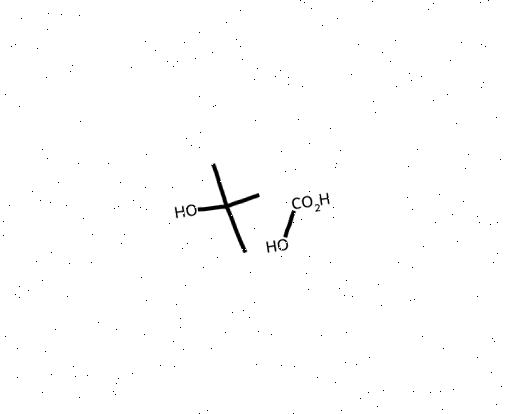 CC(C)(C)O.O=C(O)O